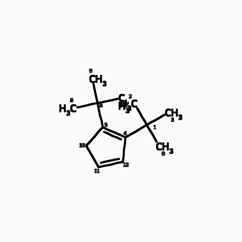 CC(C)(C)C1=C(C(C)(C)C)CC=C1